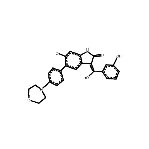 O=C1Nc2cc(Cl)c(-c3ccc(N4CCOCC4)cc3)cc2C1=C(O)c1cccc(O)c1